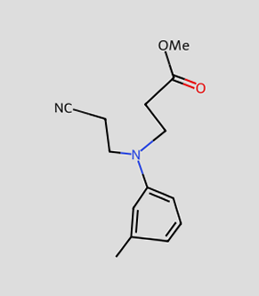 COC(=O)CCN(CCC#N)c1cccc(C)c1